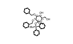 CC(C)(C)[Si](O[C@]1(C)O[C@H](CO)[C@@H](O)[C@H](OCc2ccccc2)[C@H]1OCc1ccccc1)(c1ccccc1)c1ccccc1